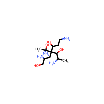 CC(N)C(O)C(CC(N)CO)(C(O)CCN)C(C)(N)O